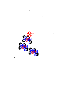 O=P([O-])([O-])[O-].c1cnc2c(c1)nnn2O[P+](N1CCCC1)(N1CCCC1)N1CCCC1.c1cnc2c(c1)nnn2O[P+](N1CCCC1)(N1CCCC1)N1CCCC1.c1cnc2c(c1)nnn2O[P+](N1CCCC1)(N1CCCC1)N1CCCC1